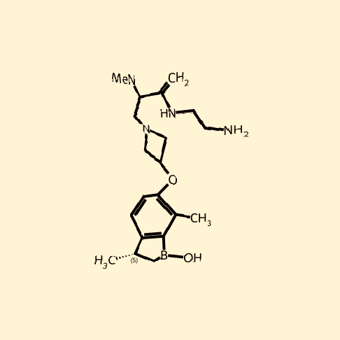 C=C(NCCN)C(CN1CC(Oc2ccc3c(c2C)B(O)C[C@@H]3C)C1)NC